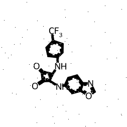 O=c1c(Nc2ccc(C(F)(F)F)cc2)c(Nc2ccc3ncoc3c2)c1=O